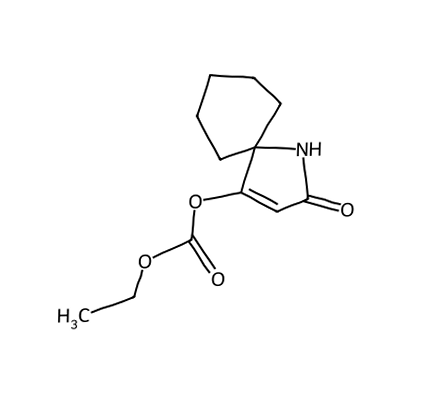 CCOC(=O)OC1=CC(=O)NC12CCCCC2